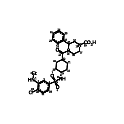 CCNc1cc(S(=O)(=O)N[C@H]2CC[C@H](C(=O)N3CCN(C(=O)O)CC3c3ccccc3)CC2)ccc1Cl